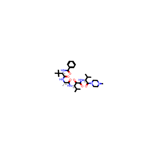 CC(C)[C@H](NC(=O)[C@H](C)NC(=O)[C@@H](NC(=O)c1ccccc1)C(C)(C)C)C(=O)C(=O)N[C@H](C(=O)N1CCN(C)CC1)C(C)C